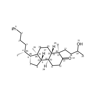 CC(C)CCC[C@@H](C)[C@H]1CC[C@H]2[C@@H]3CCC(=O)[C@](C)(CCC(C)O)[C@H]3CC[C@]12C